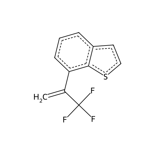 C=C(c1cccc2ccsc12)C(F)(F)F